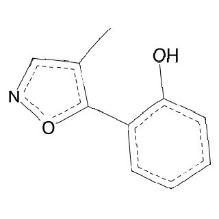 Cc1cnoc1-c1ccccc1O